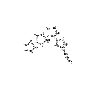 Br.Br.Br.Br.c1c[nH]cn1.c1c[nH]cn1.c1c[nH]cn1.c1c[nH]cn1